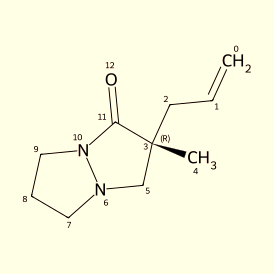 C=CC[C@]1(C)CN2CCCN2C1=O